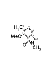 COc1c(C)ccc2c1C(=O)N(C)C2